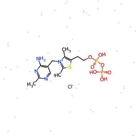 [CH]c1sc(CCOP(=O)(O)OP(=O)(O)O)c(C)[n+]1Cc1cnc(C)nc1N.[Cl-]